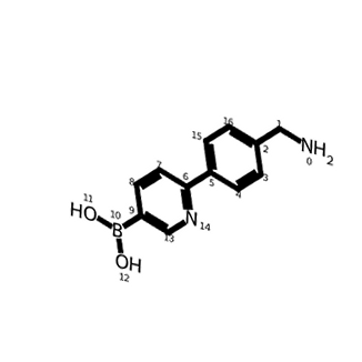 NCc1ccc(-c2ccc(B(O)O)cn2)cc1